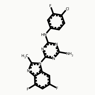 Cc1nc2c(F)cc(F)cc2n1-c1nc(N)nc(Nc2ccc(Cl)c(F)c2)n1